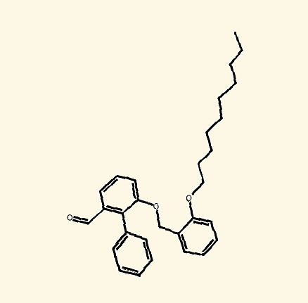 CCCCCCCCCCOc1ccccc1COc1cccc(C=O)c1-c1ccccc1